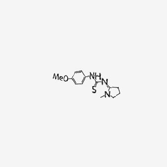 COc1ccc(NC(=S)N=C2CCCN2C)cc1